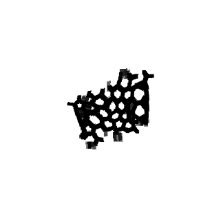 C=C(C)C1C2C3C4C5CC5C(C)C5C(C43)[C@H]3C(C(C(C)C(C)C)C4C(C)C(I)C6C7C(C)C(I)[C@@H]8C9C7C7C%10C%11C%12C%13C(CC(C)C(CCC)C%13[C@@H]5[C@@H]5C%12C7C6C4[C@H]35)C(CC)C%11[C@H](C)C3C4C(C(C)C(C)C)C(C)C5C4C(C9C%103)[C@@H]3C5C(C)C(C)[C@@H]38)C12